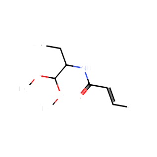 C/C=C/C(=O)NC(CC)C(OC)OC